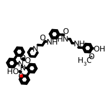 COc1cc(CNCCNC(=O)c2cccc(NC(=O)CCN3CCC(OC(=O)N(c4ccccc4-c4ccccc4)N(C(=O)O)c4ccccc4-c4ccccc4)CC3)c2)ccc1O